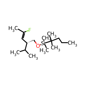 CCCC(C)(C)[Si](C)(C)OC[C@@H](/C=C(/C)F)C(C)C